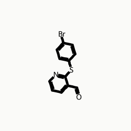 O=Cc1cccnc1Sc1ccc(Br)cc1